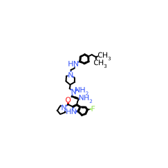 CC(C)Cc1ccc(NCCN2CCC(CN(N)/C=C(\N)c3c(C(=O)N4CCCC4)[nH]c4ccc(F)cc34)CC2)cc1